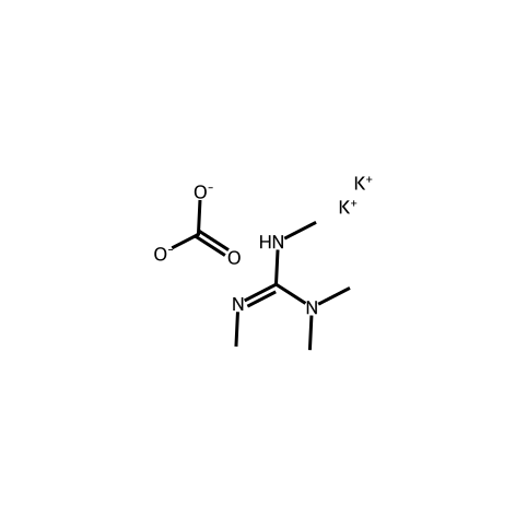 CN=C(NC)N(C)C.O=C([O-])[O-].[K+].[K+]